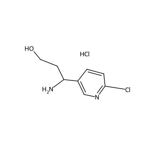 Cl.NC(CCO)c1ccc(Cl)nc1